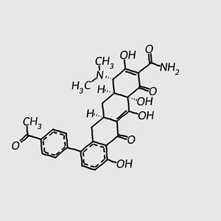 CC(=O)c1ccc(-c2ccc(O)c3c2C[C@H]2C[C@H]4[C@H](N(C)C)C(O)=C(C(N)=O)C(=O)[C@@]4(O)C(O)=C2C3=O)cc1